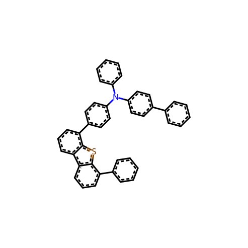 c1ccc(-c2ccc(N(c3ccccc3)c3ccc(-c4cccc5c4sc4c(-c6ccccc6)cccc45)cc3)cc2)cc1